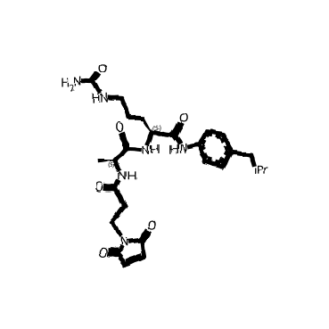 CC(C)Cc1ccc(NC(=O)[C@H](CCCNC(N)=O)NC(=O)[C@H](C)NC(=O)CCN2C(=O)C=CC2=O)cc1